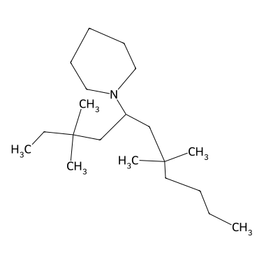 CCCCC(C)(C)CC(CC(C)(C)CC)N1CCCCC1